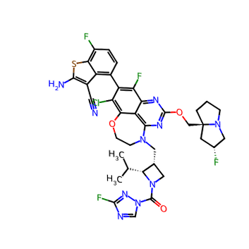 CC(C)[C@@H]1[C@H](CN2CCOc3c(Cl)c(-c4ccc(F)c5sc(N)c(C#N)c45)c(F)c4nc(OC[C@@]56CCCN5C[C@H](F)C6)nc2c34)CN1C(=O)n1cnc(F)n1